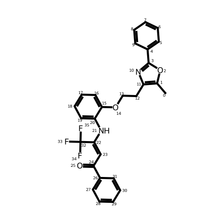 Cc1oc(-c2ccccc2)nc1CCOc1ccccc1N/C(=C/C(=O)c1ccccc1)C(F)(F)F